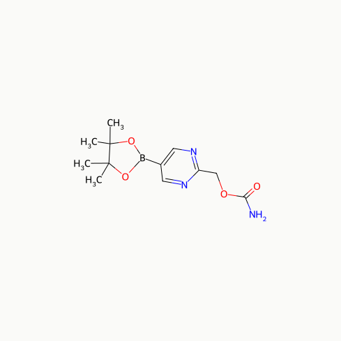 CC1(C)OB(c2cnc(COC(N)=O)nc2)OC1(C)C